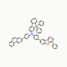 c1ccc(-c2cccc3c2oc2ccc(-c4ccc(N(c5ccc(-c6ccc7c(ccc8ccccc87)c6)cc5)c5ccc6c(c5)C(c5ccccc5)(c5ccccc5)c5ccccc5-6)cc4)cc23)cc1